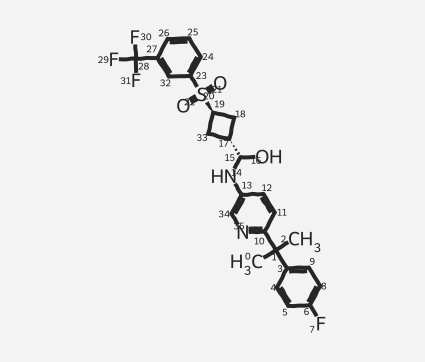 CC(C)(c1ccc(F)cc1)c1ccc(NC(O)[C@H]2C[C@H](S(=O)(=O)c3cccc(C(F)(F)F)c3)C2)cn1